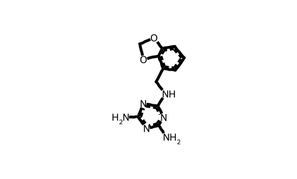 Nc1nc(N)nc(NCc2cccc3c2OCO3)n1